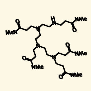 CNC(=O)CCNCCN(CCC(=O)NC)CCN(CCC(=O)NC)CCN(CCC(=O)NC)CCC(=O)NC